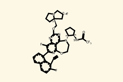 C#Cc1c(F)ccc2cccc(-c3nc4c5c(nc(OC[C@@]67CCCN6C[C@H](F)C7)nc5c3F)N([C@@H]3CCC[C@H]3NC(=O)C(F)(F)F)CCO4)c12